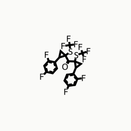 O=C(C1(SC(F)(F)F)CC1c1ccc(F)cc1F)C1(SC(F)(F)F)CC1c1ccc(F)cc1F